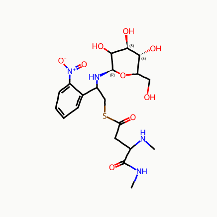 CNC(=O)C(CC(=O)SCC(N[C@@H]1OC(CO)[C@@H](O)[C@H](O)C1O)c1ccccc1[N+](=O)[O-])NC